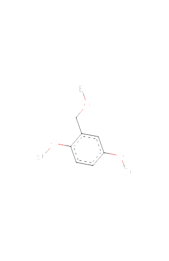 CCOCc1cc(OCC)ccc1OCC